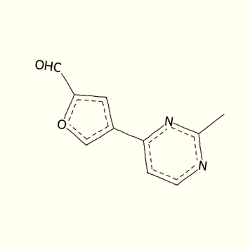 Cc1nccc(-c2coc(C=O)c2)n1